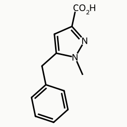 Cn1nc(C(=O)O)cc1Cc1ccccc1